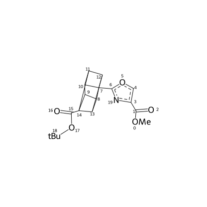 COC(=O)c1coc(C23C4C5C2C2C3C4C52C(=O)OC(C)(C)C)n1